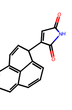 O=C1C=C(C2C=Cc3cccc4cccc2c34)C(=O)N1